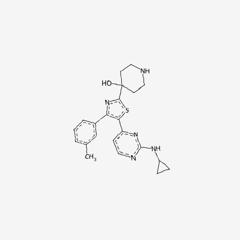 Cc1cccc(-c2nc(C3(O)CCNCC3)sc2-c2ccnc(NC3CC3)n2)c1